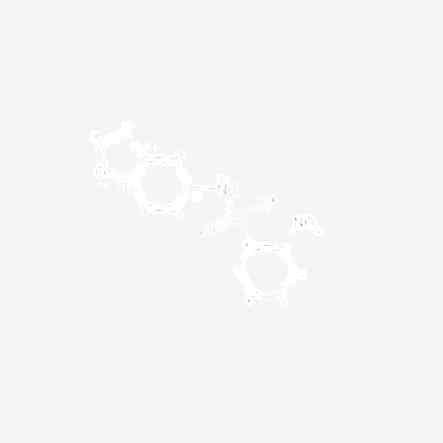 O=[N+]([O-])c1ccccc1S(=O)(=O)Nc1ccc2occc2c1